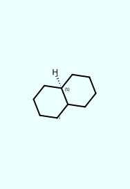 [C]1CCC[C@H]2CCCCC12